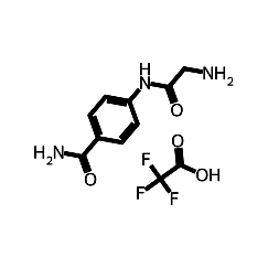 NCC(=O)Nc1ccc(C(N)=O)cc1.O=C(O)C(F)(F)F